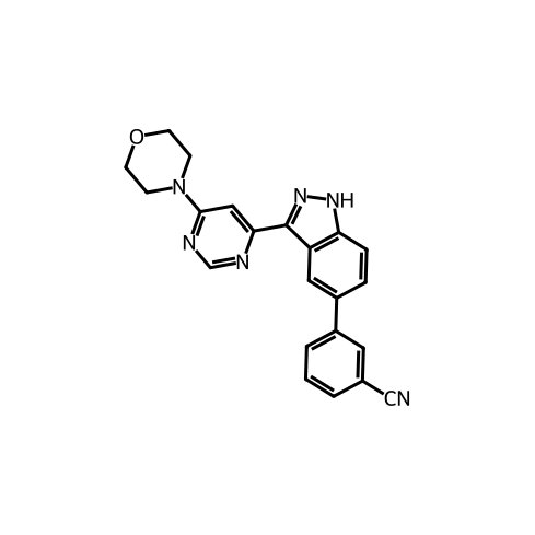 N#Cc1cccc(-c2ccc3[nH]nc(-c4cc(N5CCOCC5)ncn4)c3c2)c1